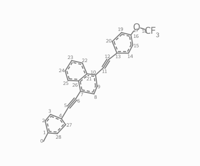 Cc1ccc(C#Cc2ccc(C#Cc3ccc(OC(F)(F)F)cc3)c3ccccc23)cc1